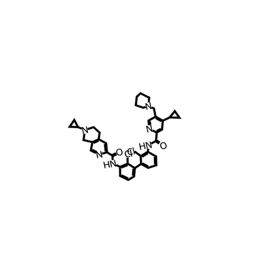 O=C(Nc1cccc(-c2cccc(NC(=O)c3cc(C4CC4)c(CN4CCCCC4)cn3)c2Cl)c1Cl)c1cc2c(cn1)CN(C1CC1)CC2